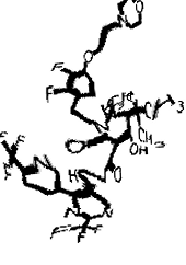 CN1C(C(C)(C)C)C(O)=C(C(=O)Nc2cnc(C(F)(F)F)nc2-c2ccc(C(F)(F)F)nc2)C(=O)N1Cc1ccc(OCCN2CCOCC2)c(F)c1F